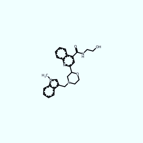 Cn1cc(CN2CCOC(c3cc(C(=O)NCCO)c4ccccc4n3)C2)c2ccccc21